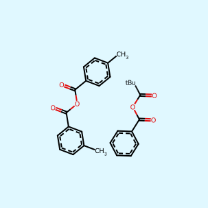 CC(C)(C)C(=O)OC(=O)c1ccccc1.Cc1ccc(C(=O)OC(=O)c2cccc(C)c2)cc1